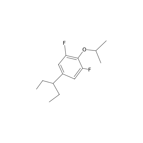 CCC(CC)c1cc(F)c(OC(C)C)c(F)c1